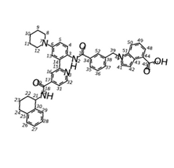 O=C(Nc1ccc(N2CCCCC2)cc1-c1cc(C(=O)NC2CCCc3ccccc32)ccn1)c1cccc(Cn2ccc3c(C(=O)O)cccc32)c1